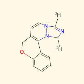 [2H]C1=NC([2H])N2C3=C(C=CN12)COc1ccccc13